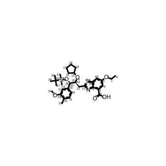 CCOc1cc(C(=O)O)c2nc(C[C@H](OC3CCCC3)[C@H](O[Si](C)(C)C(C)(C)C)c3ccc(C)c(OC)c3)sc2c1